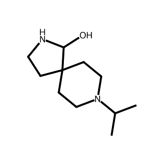 CC(C)N1CCC2(CCNC2O)CC1